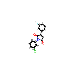 O=C1C=C(c2cccc(F)c2)C(=O)N1c1cccc(Cl)c1